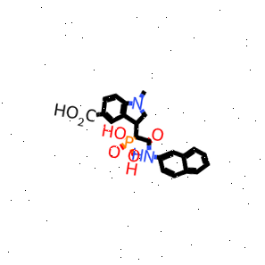 CN1CC(C(C(=O)Nc2ccc3ccccc3c2)P(=O)(O)O)c2cc(C(=O)O)ccc21